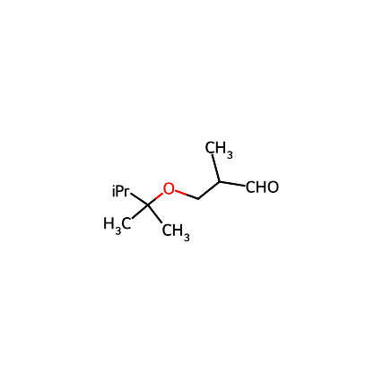 CC(C=O)COC(C)(C)C(C)C